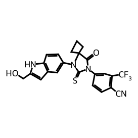 N#Cc1ccc(N2C(=O)C3(CCC3)N(c3ccc4[nH]c(CO)cc4c3)C2=S)cc1C(F)(F)F